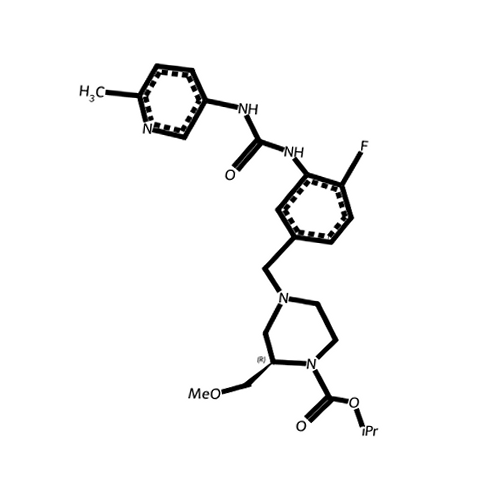 COC[C@H]1CN(Cc2ccc(F)c(NC(=O)Nc3ccc(C)nc3)c2)CCN1C(=O)OC(C)C